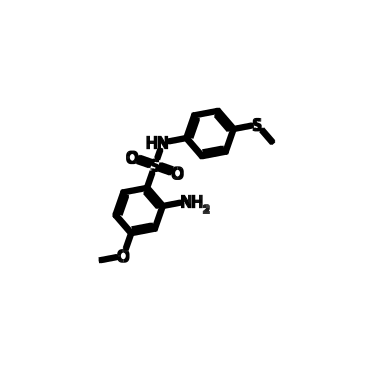 COc1ccc(S(=O)(=O)Nc2ccc(SC)cc2)c(N)c1